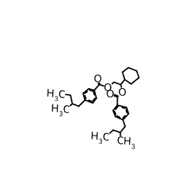 CCC(C)Cc1ccc(C(=O)OCC(OC(=O)c2ccc(CC(C)CC)cc2)C2CCCCC2)cc1